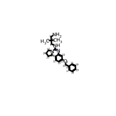 CC(C)(CN)CN/C(=N/c1cccc(OCc2ccccc2)c1)N1CCCC1